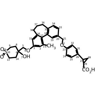 Cc1cc(OCC2(O)CCS(=O)(=O)CC2)cc2c1-c1cc(COc3ccc(C4CC4C(=O)O)cc3)ccc1CCC2